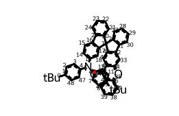 CC(C)(C)c1ccc(N(c2ccc(C(C)(C)C)cc2)c2ccc3c(c2)C2(c4ccccc4-3)c3ccccc3-c3cc4oc5ccccc5c(=O)c4cc32)cc1